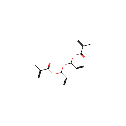 C=CC(OC(=O)C(=C)C)OC(C=C)OC(=O)C(=C)C